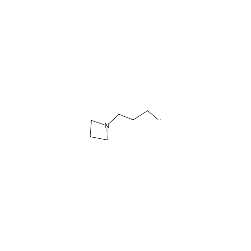 [CH2]CCCN1CCC1